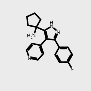 NC1(c2[nH]nc(-c3ccc(F)cc3)c2-c2ccncc2)CCCC1